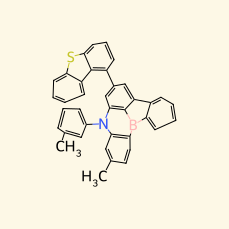 Cc1cccc(N2c3cc(C)ccc3B3c4ccccc4-c4cc(-c5cccc6sc7ccccc7c56)cc2c43)c1